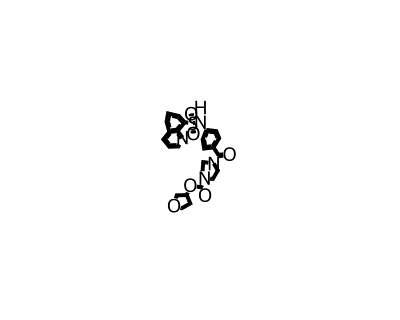 O=C(OC1CCOC1)N1CCN(C(=O)c2ccc(NS(=O)(=O)c3cccc4cccnc34)cc2)CC1